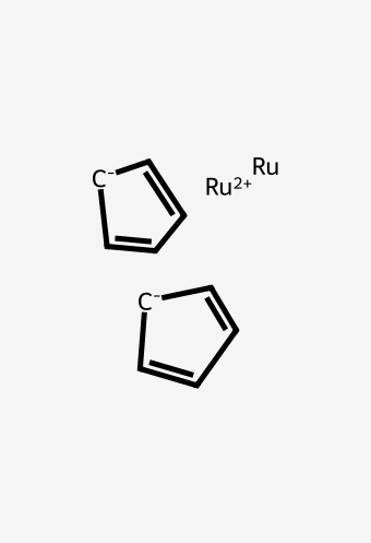 [Ru+2].[Ru].c1cc[cH-]c1.c1cc[cH-]c1